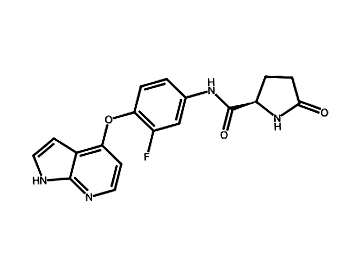 O=C1CC[C@H](C(=O)Nc2ccc(Oc3ccnc4[nH]ccc34)c(F)c2)N1